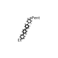 CCCCC[C@H]1CC[C@H](c2ccc(-c3ccc(C4=CCC(CC)CC4)cc3)cc2)CC1